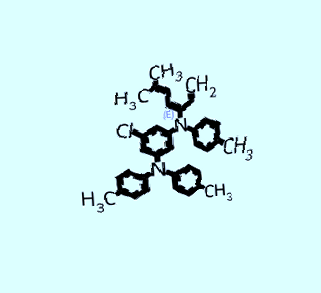 C=C/C(=C\C=C(C)C)N(c1ccc(C)cc1)c1cc(Cl)cc(N(c2ccc(C)cc2)c2ccc(C)cc2)c1